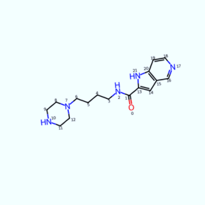 O=C(NCCCCN1CCNCC1)c1cc2cnccc2[nH]1